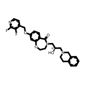 O=C1c2ccc(OCc3ccnc(F)c3F)cc2OCCN1C[C@H](O)CN1CCc2ccccc2C1